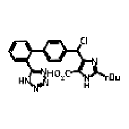 CCCCc1nc(C(Cl)c2ccc(-c3ccccc3-c3nnn[nH]3)cc2)c(C(=O)O)[nH]1